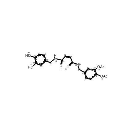 CC(=O)Oc1ccc(CNC(=O)/C=C\C(=O)NCc2ccc(O)c(O)c2)cc1OC(C)=O